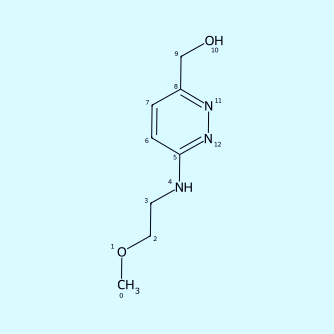 COCCNc1ccc(CO)nn1